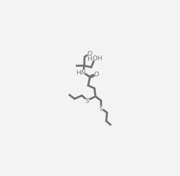 CCCSCC(CCC(=O)NC(C)(CO)CO)SCCC